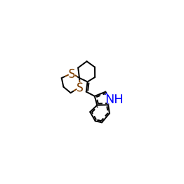 C(=C1/CCCCC12SCCCS2)/c1c[nH]c2ccccc12